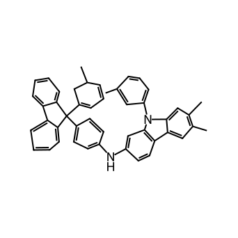 Cc1cccc(-n2c3cc(Nc4ccc(C5(C6=CC=CC(C)C6)c6ccccc6-c6ccccc65)cc4)ccc3c3cc(C)c(C)cc32)c1